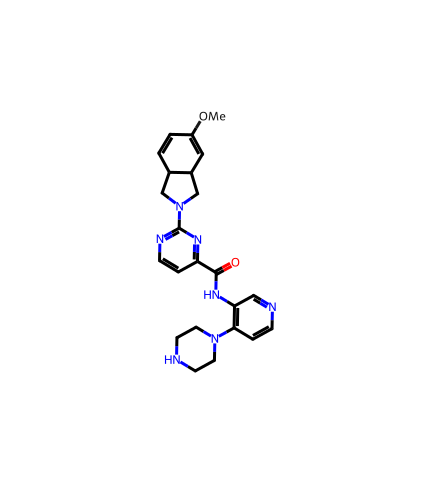 COC1=CC2CN(c3nccc(C(=O)Nc4cnccc4N4CCNCC4)n3)CC2C=C1